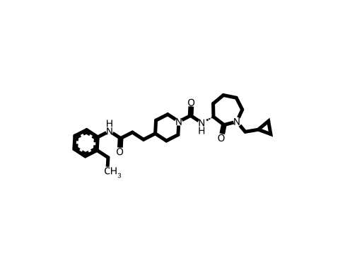 CCc1ccccc1NC(=O)CCC1CCN(C(=O)N[C@@H]2CCCCN(CC3CC3)C2=O)CC1